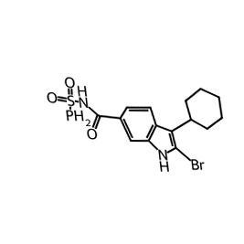 O=C(NS(=O)(=O)P)c1ccc2c(C3CCCCC3)c(Br)[nH]c2c1